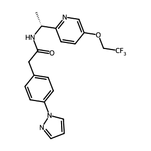 C[C@@H](NC(=O)Cc1ccc(-n2cccn2)cc1)c1ccc(OCC(F)(F)F)cn1